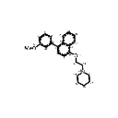 COc1cccc(-c2ccc(OCCN3CCCCC3)c3ccccc23)c1